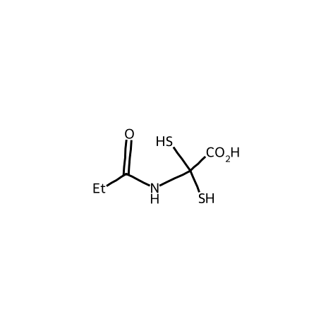 CCC(=O)NC(S)(S)C(=O)O